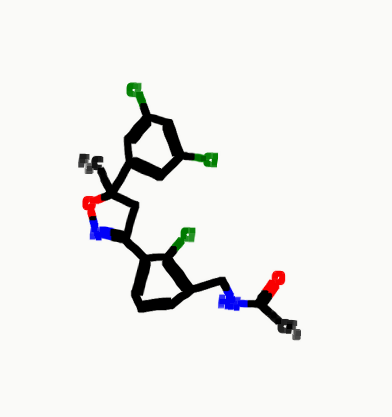 O=C(NCc1cccc(C2=NOC(c3cc(Cl)cc(Cl)c3)(C(F)(F)F)C2)c1Cl)C(F)(F)F